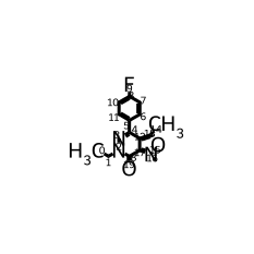 CCn1nc(-c2ccc(F)cc2)c2c(C)onc2c1=O